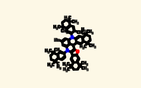 CCC(C)c1cc2c3c(c1)N(c1ccc4c(c1)C(C)(C)CCC4(C)C)c1c(oc4cc5c(cc14)C(C)(C)CCC5(C)C)B3c1cc3c(cc1N2c1cc2c(cc1C)C(C)(C)CCC2(C)C)C(C)(C)CCC3(C)C